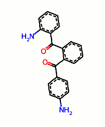 Nc1ccc(C(=O)c2ccccc2C(=O)c2ccccc2N)cc1